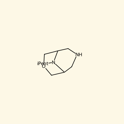 CCCC(C)N1C2CNCC1COC2